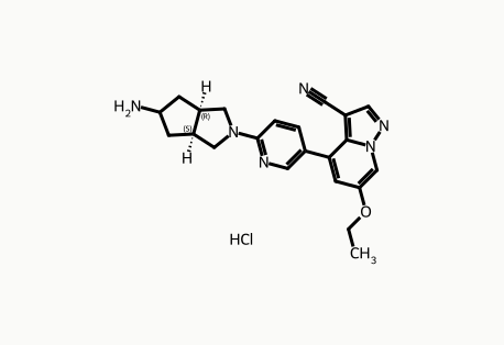 CCOc1cc(-c2ccc(N3C[C@H]4CC(N)C[C@H]4C3)nc2)c2c(C#N)cnn2c1.Cl